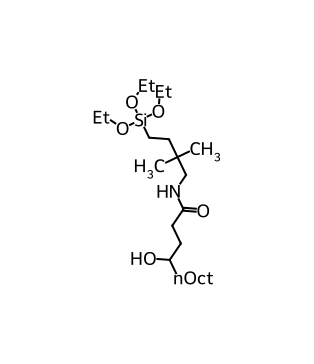 CCCCCCCCC(O)CCC(=O)NCC(C)(C)CC[Si](OCC)(OCC)OCC